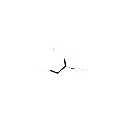 CN[C@@H](CC(=O)O)C(=O)O.Cl